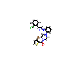 O=C(c1sccc1Br)N1CCN(c2ccccc2NCCc2ccccc2Cl)CC1